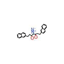 [N-]=[N+]=C(C(=O)CCc1ccc2ccccc2c1)C(=O)CCc1ccc2ccccc2c1